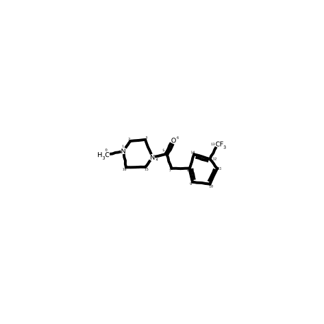 CN1CCN(C(=O)Cc2cccc(C(F)(F)F)c2)CC1